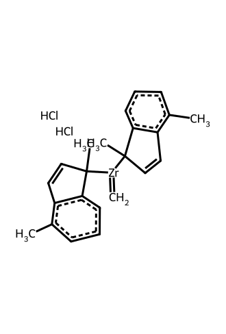 Cl.Cl.[CH2]=[Zr]([C]1(C)C=Cc2c(C)cccc21)[C]1(C)C=Cc2c(C)cccc21